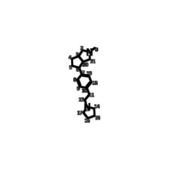 CN1CC2CCC(c3ccc(CCN4CCCC4)cc3)C2C1